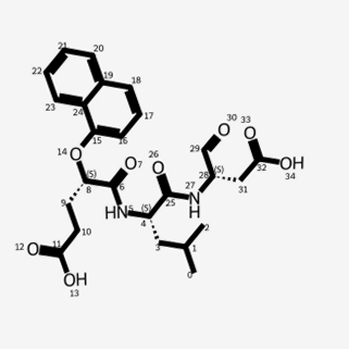 CC(C)C[C@H](NC(=O)[C@H](CCC(=O)O)Oc1cccc2ccccc12)C(=O)N[C@H](C=O)CC(=O)O